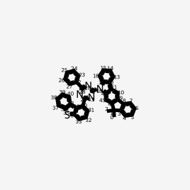 CC1(C)c2ccccc2-c2cc3c4ccccc4n(-c4nc(-c5ccccc5)nc(-c5cccc6sc7ccccc7c56)n4)c3cc21